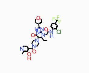 CCc1c(N2CCN(C(=O)c3ccnc(C)c3O)CC2)c(=O)n2nc(C3=CCOCC3)nc2n1CC(=O)Nc1ccc(C(F)(F)F)cc1Cl